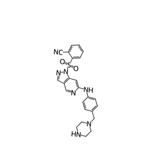 N#Cc1ccccc1S(=O)(=O)n1ncc2cnc(Nc3ccc(CN4CCNCC4)cc3)cc21